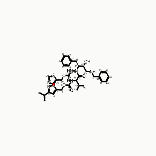 CC(C)c1cc(COC(=O)NC(C(=O)N(NC(=O)OCc2cncs2)[C@@H](Cc2ccccc2)[C@@H](O)CNCc2ccccc2)C(C)C)on1